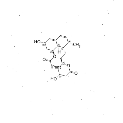 CCCC(C)C(=O)O[C@H]1C[C@H](O)C=C2C=C[C@H](C)[C@H](CC[C@@H]3C[C@@H](O)CC(=O)O3)[C@H]21